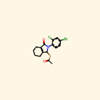 CC(=O)SC1C2=C(CCCC2)C(=O)N1c1ccc(Br)cc1F